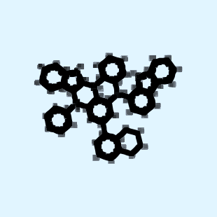 c1ccc(N2c3cc(-c4cccc5c4CCCC5)cc4c3B(c3ccccc3N4c3cccc4c3sc3ccccc34)c3sc4ccccc4c32)cc1